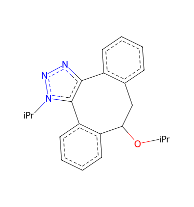 CC(C)OC1Cc2ccccc2-c2nnn(C(C)C)c2-c2ccccc21